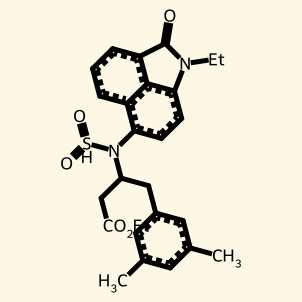 CCOC(=O)CC(Cc1cc(C)cc(C)c1)N(c1ccc2c3c(cccc13)C(=O)N2CC)[SH](=O)=O